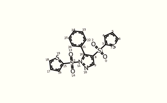 O=S(=O)(c1cccs1)c1cnn(S(=O)(=O)c2cccs2)c1-c1ccccc1